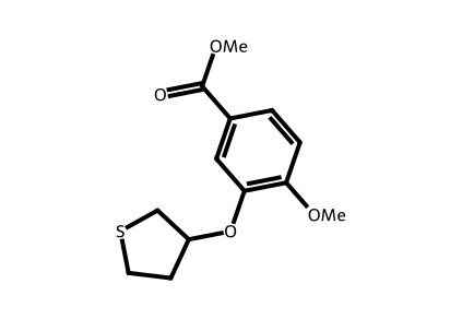 COC(=O)c1ccc(OC)c(OC2CCSC2)c1